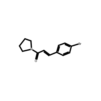 O=C(/C=C/c1ccc(Br)cc1)N1CCCC1